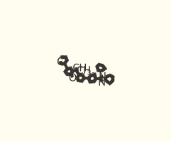 CC1(C)c2cc(-c3ccccc3)ccc2Oc2ccc(-c3ccc(-c4nc5ccccc5n4-c4ccccc4)cc3)cc21